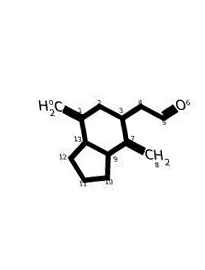 C=C1CC(CC=O)C(=C)C2CCCC12